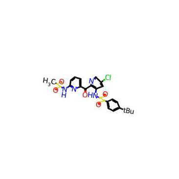 CC(C)(C)c1ccc(S(=O)(=O)Nc2cc(Cl)cnc2C(=O)c2cccc(NS(C)(=O)=O)n2)cc1